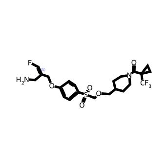 NC/C(=C\F)COc1ccc(S(=O)(=O)COCC2CCN(C(=O)C3(C(F)(F)F)CC3)CC2)cc1